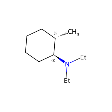 CCN(CC)[C@H]1CCCC[C@@H]1C